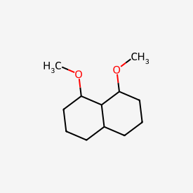 COC1CCCC2CCCC(OC)C21